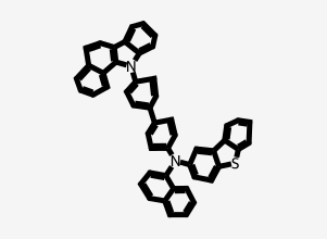 c1ccc2c(N(c3ccc(-c4ccc(-n5c6ccccc6c6ccc7ccccc7c65)cc4)cc3)c3ccc4sc5ccccc5c4c3)cccc2c1